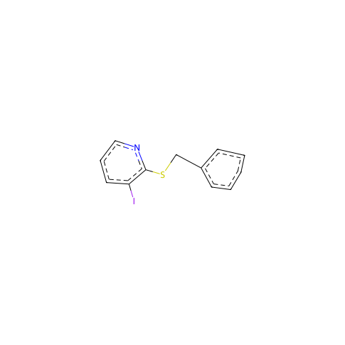 Ic1cccnc1SCc1ccccc1